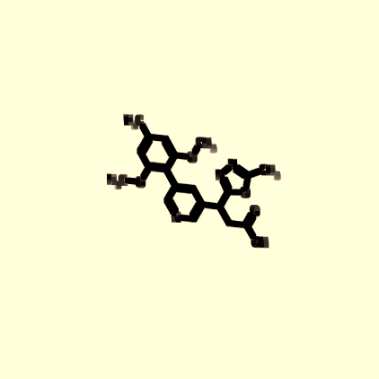 COc1cc(C)cc(OC)c1-c1cncc(C(CC(=O)O)c2nnc(C)o2)c1